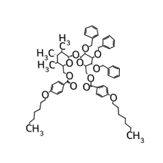 CCCCCCCOc1ccc(C(=O)OCC2O[C@H](O[C@H]3OC(COC(=O)c4ccc(OCCCCCCC)cc4)[C@@H](OCc4ccccc4)[C@H](OCc4ccccc4)C3OCc3ccccc3)C(C)[C@@H](C)[C@@H]2C)cc1